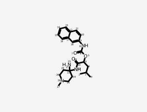 CC(C)CC(OC(=O)Nc1ccc2ccccc2c1)C(=O)NC1(N)CCN(C)CC1